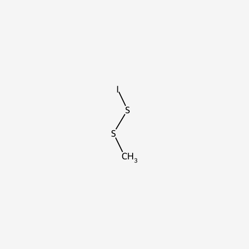 CSSI